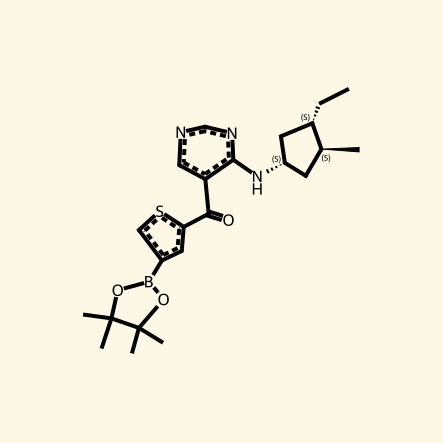 CC[C@H]1C[C@@H](Nc2ncncc2C(=O)c2cc(B3OC(C)(C)C(C)(C)O3)cs2)C[C@@H]1C